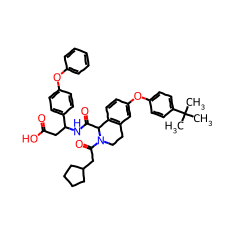 CC(C)(C)c1ccc(Oc2ccc3c(c2)CCN(C(=O)CC2CCCC2)C3C(=O)NC(CC(=O)O)c2ccc(Oc3ccccc3)cc2)cc1